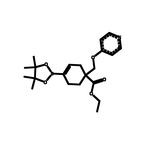 CCOC(=O)C1(COc2ccncc2)CC=C(B2OC(C)(C)C(C)(C)O2)CC1